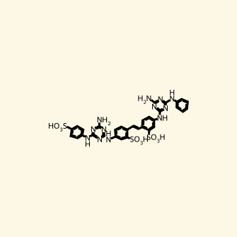 Nc1nc(Nc2ccccc2)nc(Nc2ccc(C=Cc3ccc(Nc4nc(N)nc(Nc5ccc(S(=O)(=O)O)cc5)n4)cc3S(=O)(=O)O)c(S(=O)(=O)O)c2)n1